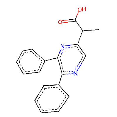 CC(C(=O)O)c1cnc(-c2ccccc2)c(-c2ccccc2)n1